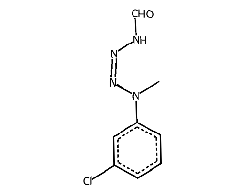 CN(/N=N\NC=O)c1cccc(Cl)c1